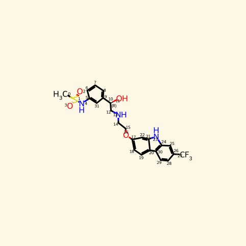 CS(=O)(=O)Nc1cccc([C@@H](O)CNCCOc2ccc3c(c2)[nH]c2cc(C(F)(F)F)ccc23)c1